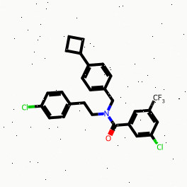 O=C(c1cc(Cl)cc(C(F)(F)F)c1)N(CCc1ccc(Cl)cc1)Cc1ccc(C2CCC2)cc1